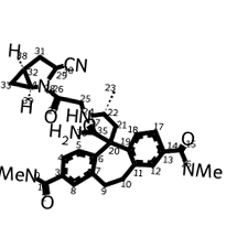 CNC(=O)c1ccc2c(c1)CCc1cc(C(=O)NC)ccc1C2(C[C@@H](C)NCC(=O)N1C(C#N)C[C@@H]2C[C@@H]21)C(N)=O